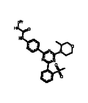 CCCNC(=O)Nc1ccc(-c2nc(-c3ccccc3S(C)(=O)=O)nc(N3CCOCC3C)n2)cc1